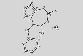 CN1CCC(Oc2ccccc2Cl)c2ccoc2C1.Cl